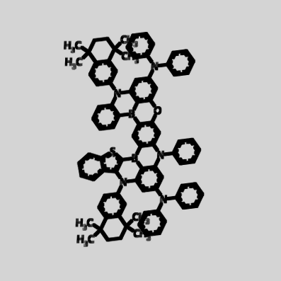 CC1(C)CCC(C)(C)c2cc(N3c4ccccc4B4c5cc6c(cc5Oc5cc(N(c7ccccc7)c7ccccc7)cc3c54)N(c3ccccc3)c3cc(N(c4ccccc4)c4ccccc4)cc4c3B6c3sc5ccccc5c3N4c3ccc4c(c3)C(C)(C)CCC4(C)C)ccc21